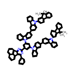 CC1(C)c2ccccc2-c2ccc(-n3c4ccccc4c4cc(-c5ccc6c(c5)c5ccccc5n6-c5cc(-c6nc(-c7ccccc7)c7c(n6)-c6cccc8cccc-7c68)cc(-n6c7ccccc7c7cc(-c8ccc9c(c8)c8ccccc8n9-c8ccc9c(c8)C(C)(C)c8ccccc8-9)ccc76)c5)ccc43)cc21